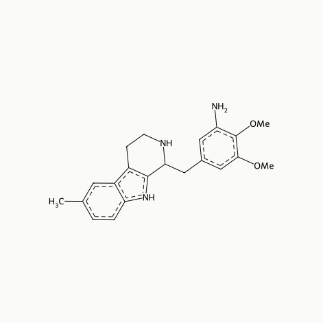 COc1cc(CC2NCCc3c2[nH]c2ccc(C)cc32)cc(N)c1OC